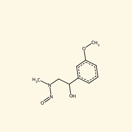 COc1cccc(C(O)CN(C)N=O)c1